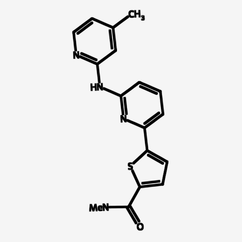 CNC(=O)c1ccc(-c2cccc(Nc3cc(C)ccn3)n2)s1